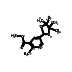 COC(=O)c1cc(C2OC(C)(C)C(C)(C)O2)cnc1C